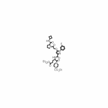 CCOOC(=O)CCC(NC(=O)c1cc(OCC(=O)N2CCCC2C(=O)NC2CCC2)n(-c2cccc(F)c2)n1)C(=O)N1CCN(C(=O)OCC)CC1